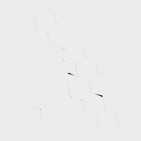 CN1CC(=O)N2[C@@H](Cc3ccccc3)C(=O)N(CCC3CC=CS3)C[C@@H]2N1C(=O)NCc1ccccc1